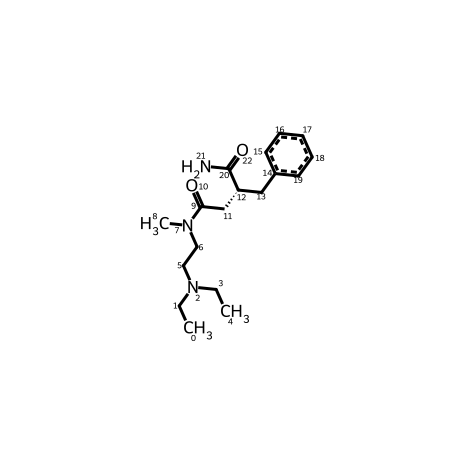 CCN(CC)CCN(C)C(=O)C[C@@H](Cc1ccccc1)C(N)=O